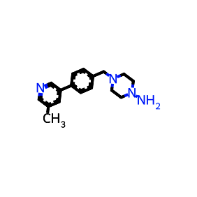 Cc1cncc(-c2ccc(CN3CCN(N)CC3)cc2)c1